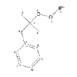 CC(C)OOC(C)(C)Cc1ccccc1